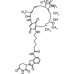 CO[C@H]1/C=C\C=C(/C)C(=O)NC2=CC(=O)C(NCCCCCC(=O)Nc3cccc4c3CN(C3CCC(=O)NC3=O)C4=O)=C(C[C@@H](C)C[C@H](OC)[C@@H](O)[C@@H](C)/C=C(\C)[C@@H]1OC(N)=O)C2=O